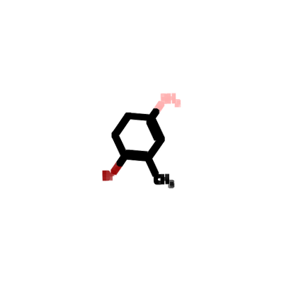 BC1=CC(C)=C(Br)CC1